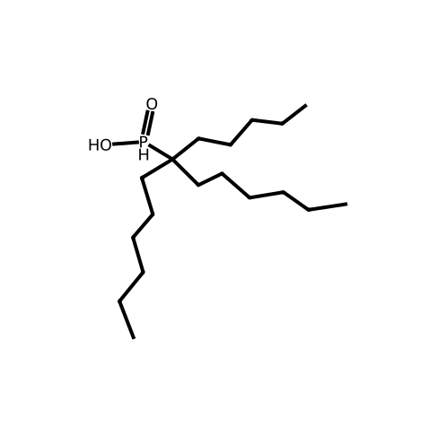 CCCCCCC(CCCCC)(CCCCCC)[PH](=O)O